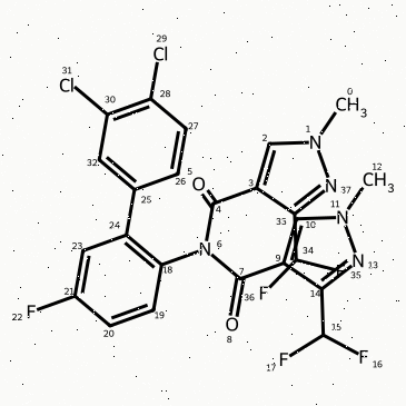 Cn1cc(C(=O)N(C(=O)c2cn(C)nc2C(F)F)c2ccc(F)cc2-c2ccc(Cl)c(Cl)c2)c(C(F)F)n1